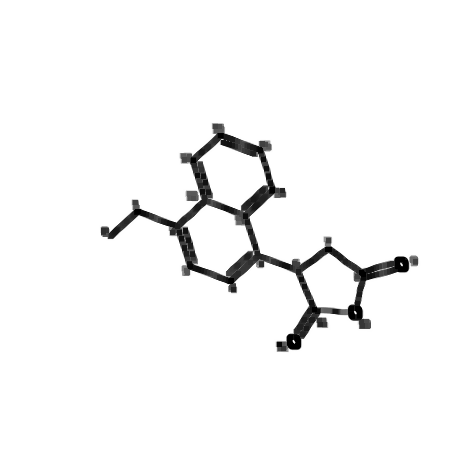 CCc1ccc(C2CC(=O)OC2=O)c2ccccc12